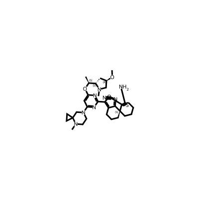 CO[C@@H]1C[C@@H]([C@H](C)Oc2cc(N3CCN(C)C4(CC4)C3)nc(-c3onc4c3CCC[C@@]43CCCc4sc(N)c(C#N)c43)n2)N(C)C1